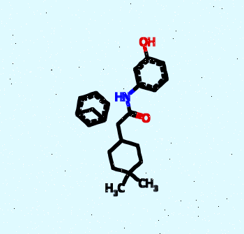 CC1(C)CCC(CC(=O)Nc2cccc(O)c2)CC1.c1cc2cc(c1)C2